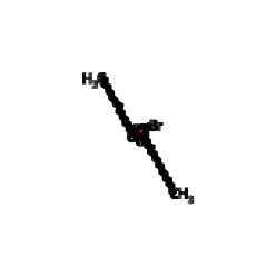 CCCCCCCCCCCCCC=CC=CC(=O)OP(=O)(OCCBr)OC(=O)C=CC=CCCCCCCCCCCCCC